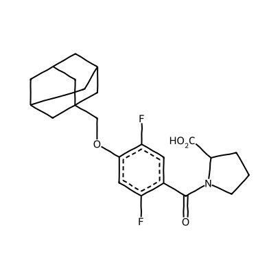 O=C(O)C1CCCN1C(=O)c1cc(F)c(OCC23CC4CC(CC(C4)C2)C3)cc1F